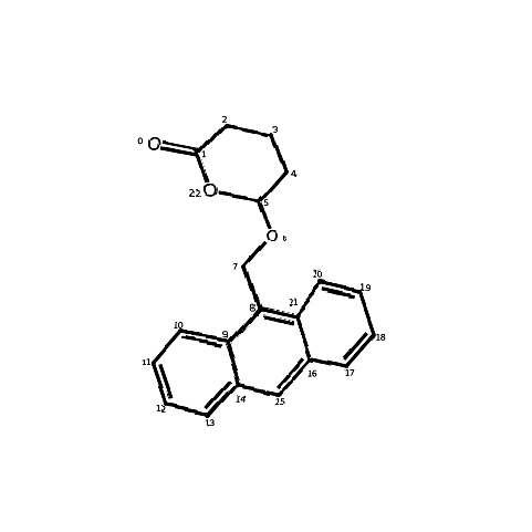 O=C1CCCC(OCc2c3ccccc3cc3ccccc23)O1